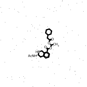 CC(=O)N[C@@H]1BCc2c(cccc2C(=O)OC(C)OC(=O)CC2CCCCC2)C1